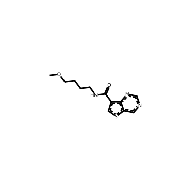 COCCCCNC(=O)c1csc2cncnc12